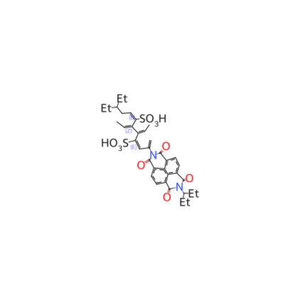 C=C(/C=C(\C(=CC)C(=C/C)/C(=C\CC(CC)CC)S(=O)(=O)O)S(=O)(=O)O)N1C(=O)c2ccc3c4c(ccc(c24)C1=O)C(=O)N(C(CC)CC)C3=O